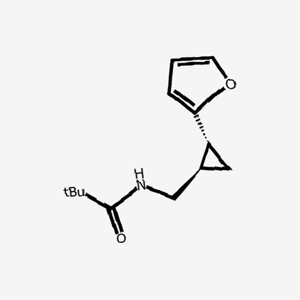 CC(C)(C)C(=O)NC[C@@H]1C[C@H]1c1ccco1